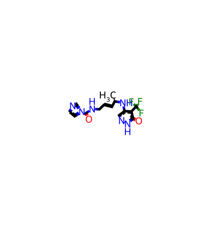 C[C@@H](/C=C/CNC(=O)n1ccnc1)Nc1cn[nH]c(=O)c1C(F)(F)F